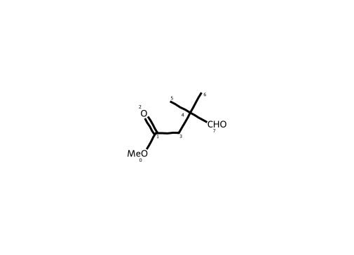 COC(=O)CC(C)(C)C=O